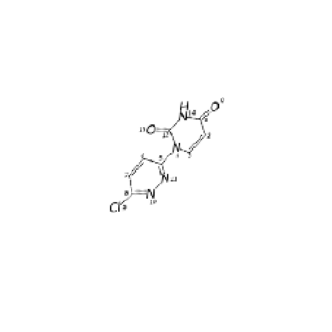 O=c1ccn(-c2ccc(Cl)nn2)c(=O)[nH]1